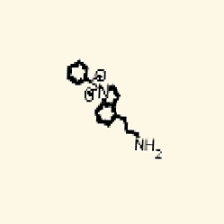 NCCCc1cccc2c1ccn2S(=O)(=O)c1ccccc1